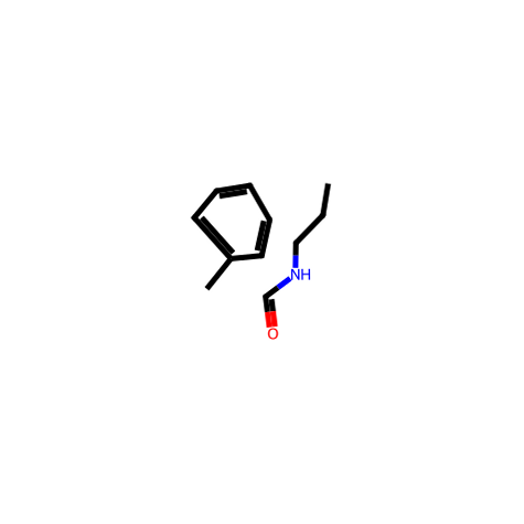 CCCNC=O.Cc1ccccc1